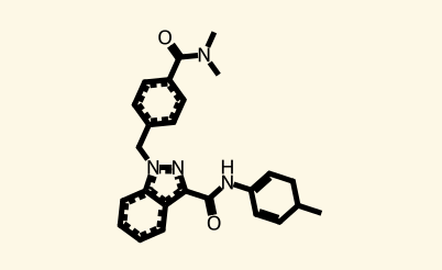 CC1C=CC(NC(=O)c2nn(Cc3ccc(C(=O)N(C)C)cc3)c3ccccc23)=CC1